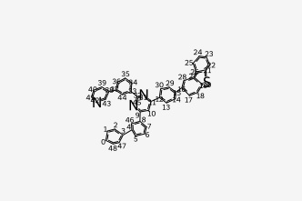 c1ccc(-c2cccc(-c3cc(-c4ccc(-c5ccc6sc7ccccc7c6c5)cc4)nc(-c4cccc(-c5cccnc5)c4)n3)c2)cc1